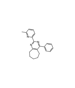 Cc1cccc(-c2nc3c(c(-c4ccccc4)n2)CCCCC3)n1